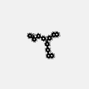 c1cc(-c2ccc(N(c3ccc(-c4ccc(-c5cccc6ccccc56)cc4)cc3)c3ccc(-c4ccc5ccccc5c4)cc3)cc2)cc(-c2cccc3c2sc2ccccc23)c1